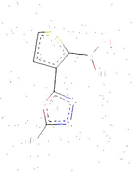 CCCc1nnc(-c2ccsc2B(O)O)o1